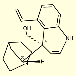 C=Cc1cccc2c1[C@](CO)([C@H]1CC3CCN1CC3)C=CN2